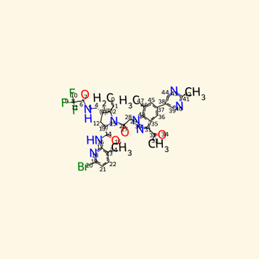 C=C[C@@H]1[C@@H](CNC(=O)C(F)(F)F)C[C@@H](C(=O)Nc2nc(Br)ccc2C)N1C(=O)Cn1nc(C(C)=O)c2cc(-c3cnc(C)nc3)cc(C)c21